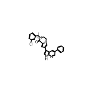 C[C@@H](c1cccc(Cl)c1)N1CCn2cc(-c3c[nH]c4ncc(-c5ccccc5)cc34)cc2C1=O